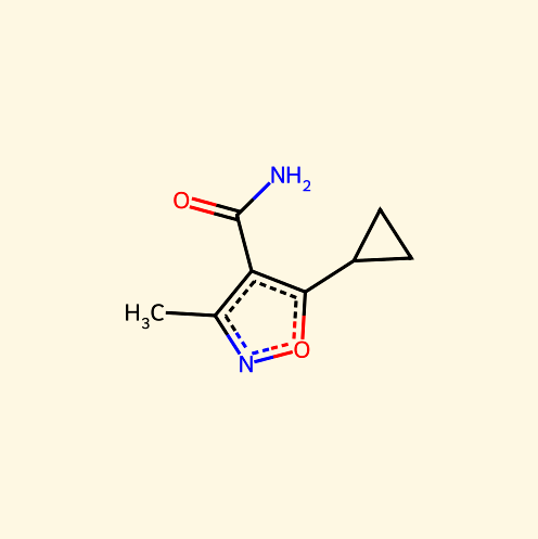 Cc1noc(C2CC2)c1C(N)=O